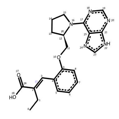 CC/C(=C\c1ccccc1OC[C@H]1CCCN1c1ncnc2[nH]cnc12)C(=O)O